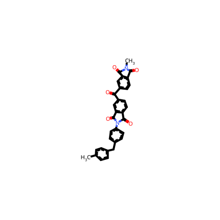 Cc1ccc(Cc2ccc(N3C(=O)c4ccc(C(=O)c5ccc6c(c5)C(=O)N(C)C6=O)cc4C3=O)cc2)cc1